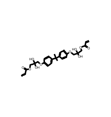 C=CC(=O)OCC(O)(O)COc1ccc(C(C)(C)c2ccc(OCC(O)(O)COC(=O)C=C)cc2)cc1